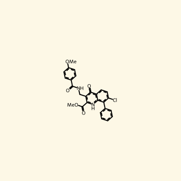 COC(=O)c1[nH]c2c(-c3ccccc3)c(Cl)ccc2c(=O)c1CNC(=O)c1ccc(OC)cc1